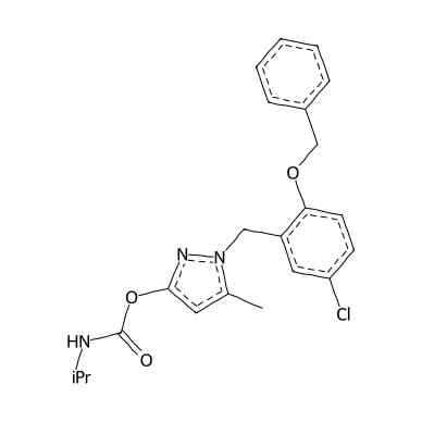 Cc1cc(OC(=O)NC(C)C)nn1Cc1cc(Cl)ccc1OCc1ccccc1